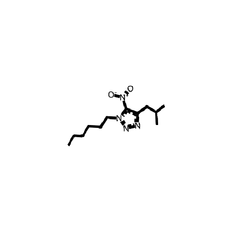 CCCCCCn1nnc(CC(C)C)c1[N+](=O)[O-]